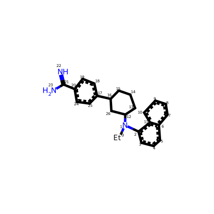 CCN(c1cccc2ccccc12)C1CCCC(c2ccc(C(=N)N)cc2)C1